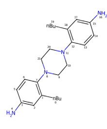 CCCCc1cc(N)ccc1N1CCN(c2ccc(N)cc2CCCC)CC1